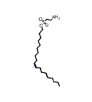 CCCCCCCC/C=C\CCCCCCCCCOS(=O)(=O)CCN